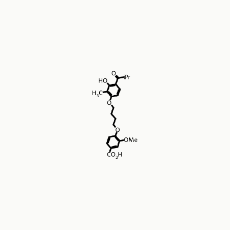 COc1cc(C(=O)O)ccc1OCCCCOc1ccc(C(=O)C(C)C)c(O)c1C